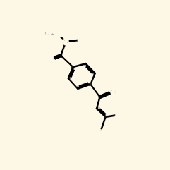 CON(C)C(=O)c1ccc(C(=N)/C=C(\O)C(F)(F)F)cc1